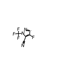 N#Cc1c(F)[c]nn1C(F)(F)F